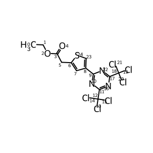 CCOC(=O)Cc1cc(-c2nc(C(Cl)(Cl)Cl)nc(C(Cl)(Cl)Cl)n2)cs1